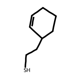 SCCC1C=CCCC1